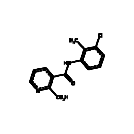 Cc1c(Cl)cccc1NC(=O)c1cccnc1C(=O)O